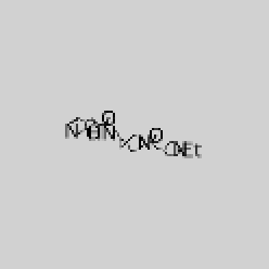 CCN1CCC(CC(=O)N2CCC3(CC2)CC3CNC(=O)c2cc3ccncc3o2)CC1